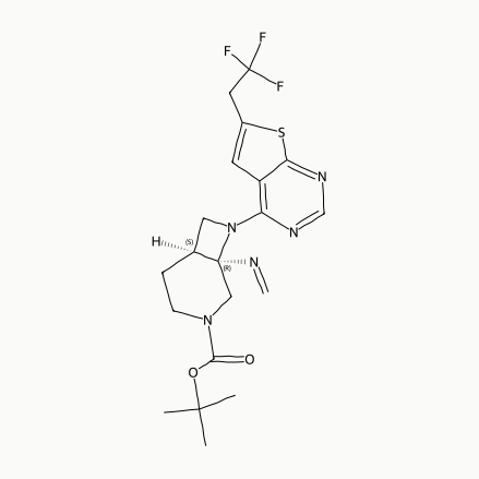 C=N[C@]12CN(C(=O)OC(C)(C)C)CC[C@H]1CN2c1ncnc2sc(CC(F)(F)F)cc12